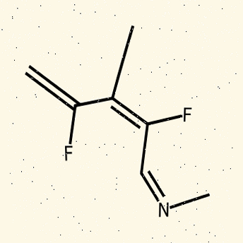 C=C(F)/C(C)=C(F)\C=N/C